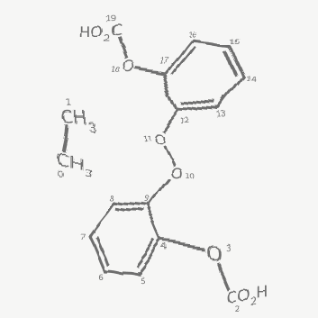 CC.O=C(O)Oc1ccccc1OOc1ccccc1OC(=O)O